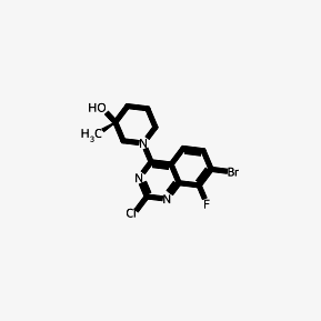 C[C@@]1(O)CCCN(c2nc(Cl)nc3c(F)c(Br)ccc23)C1